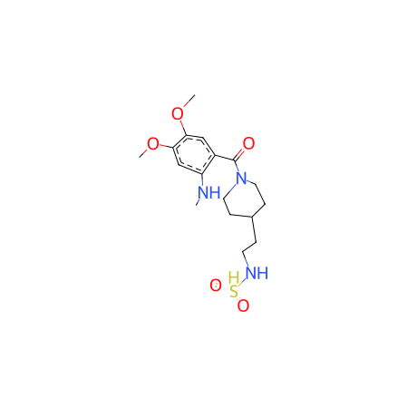 CNc1cc(OC)c(OC)cc1C(=O)N1CCC(CCN[SH](=O)=O)CC1